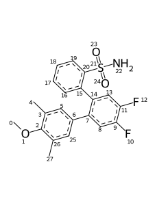 COc1c(C)cc(-c2cc(F)c(F)cc2-c2ccccc2S(N)(=O)=O)cc1C